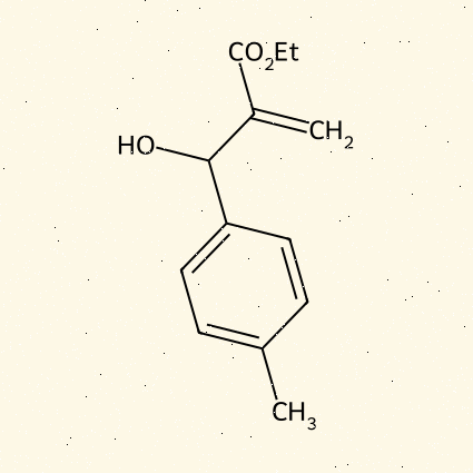 C=C(C(=O)OCC)C(O)c1ccc(C)cc1